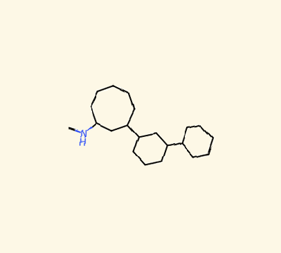 CNC1CCCCCC(C2CCCC(C3CCCCC3)C2)C1